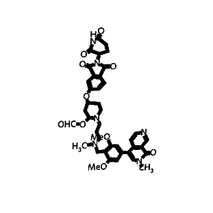 COc1cc(-c2cn(C)c(=O)c3cnccc23)cc(OC)c1CN(C)CCCN1CCC(Oc2ccc3c(c2)C(=O)N(C2CCC(=O)NC2=O)C3=O)CC1OC=O